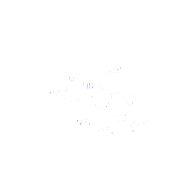 CCOC(=O)c1cnc2ccc(C(=O)OC)cc2c1Nc1ccccc1